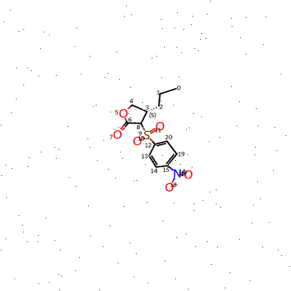 CCC[C@H]1COC(=O)C1S(=O)(=O)c1ccc([N+](=O)[O-])cc1